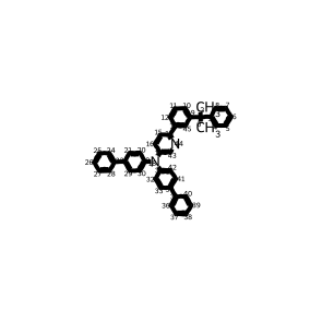 CC(C)(c1ccccc1)c1cccc(-c2ccc(N(c3ccc(-c4ccccc4)cc3)c3ccc(-c4ccccc4)cc3)cn2)c1